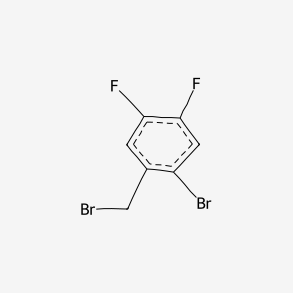 Fc1cc(Br)c(CBr)cc1F